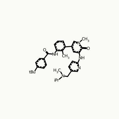 Cc1c(NC(=O)c2ccc(C(C)(C)C)cc2)cccc1-c1cc(Nc2ccc(CN(C)C(C)C)cn2)c(=O)n(C)c1